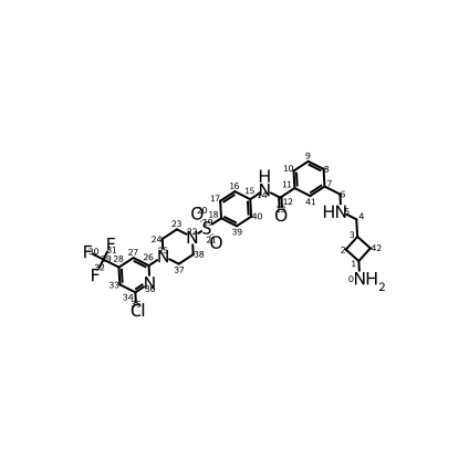 NC1CC(CNCc2cccc(C(=O)Nc3ccc(S(=O)(=O)N4CCN(c5cc(C(F)(F)F)cc(Cl)n5)CC4)cc3)c2)C1